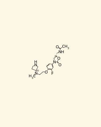 CC(=O)NC[C@H]1CN(c2ccc(OCCN(C)[C@H]3CCNC3)c(F)c2)C(=O)O1